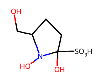 O=S(=O)(O)C1(O)CCC(CO)N1O